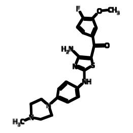 COc1cc(C(=O)c2sc(Nc3ccc(N4CCN(C)CC4)cc3)nc2N)ccc1F